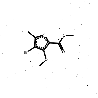 COC(=O)c1sc(C)c(Br)c1OC